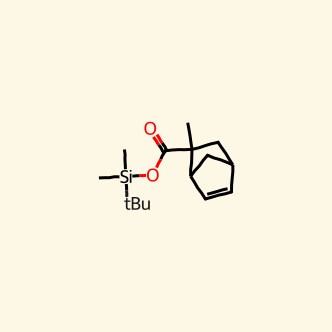 CC1(C(=O)O[Si](C)(C)C(C)(C)C)CC2C=CC1C2